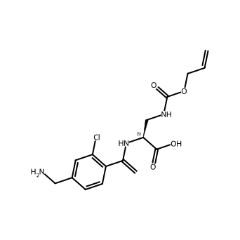 C=CCOC(=O)NC[C@H](NC(=C)c1ccc(CN)cc1Cl)C(=O)O